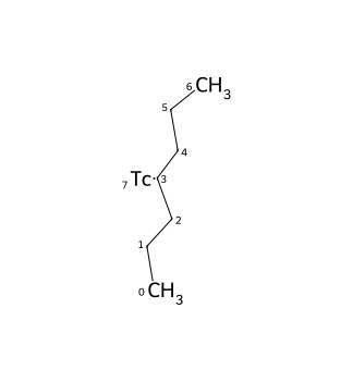 CCCCCCC.[Tc]